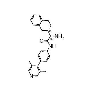 Cc1cncc(C)c1-c1ccc(NC(=O)[C@@H](N)[C@H]2CCc3ccccc3C2)cc1